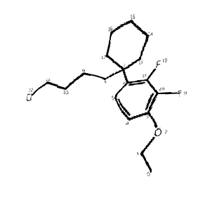 CCOc1ccc(C2(CCCCCl)CCCCC2)c(F)c1F